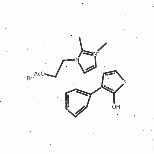 CC(=O)OCCn1cc[n+](C)c1C.Oc1sccc1-c1ccccc1.[Br-]